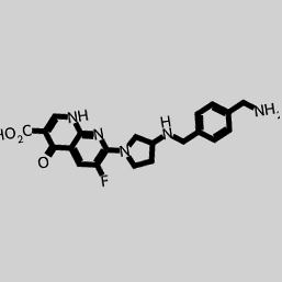 NCc1ccc(CNC2CCN(c3nc4[nH]cc(C(=O)O)c(=O)c4cc3F)C2)cc1